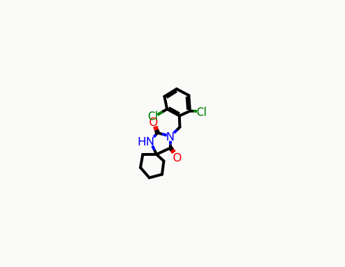 O=C1NC2(CCCCC2)C(=O)N1Cc1c(Cl)cccc1Cl